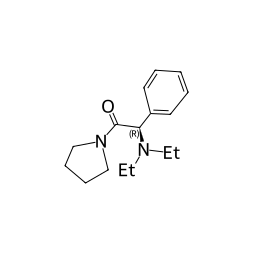 CCN(CC)[C@@H](C(=O)N1CCCC1)c1ccccc1